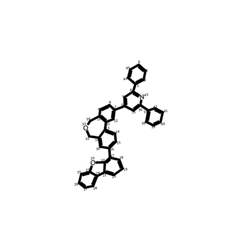 c1ccc(-c2cc(-c3ccc4c(c3)-c3ccc(-c5cccc6c5oc5ccccc56)cc3COC4)cc(-c3ccccc3)n2)cc1